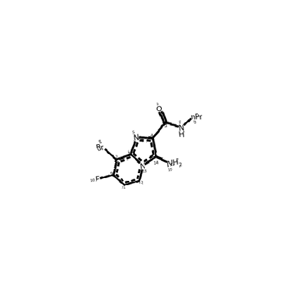 CCCNC(=O)c1nc2c(Br)c(F)ccn2c1N